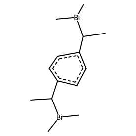 C[CH](c1ccc([CH](C)[Bi]([CH3])[CH3])cc1)[Bi]([CH3])[CH3]